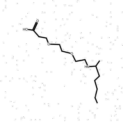 CCCCCC(C)NCCOCCOCCC(=O)O